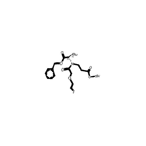 CC[C@H](C)[C@@H](C(=O)OCc1ccccc1)N(CCC(=O)OC(C)(C)C)C(=O)COCCF